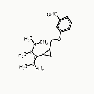 BB(B)B(B)B(B(B)B)B1CC1COc1cccc(C=O)c1